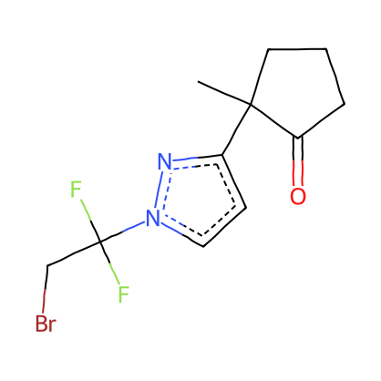 CC1(c2ccn(C(F)(F)CBr)n2)CCCC1=O